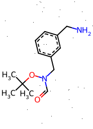 CC(C)(C)ON(C=O)Cc1cccc(CN)c1